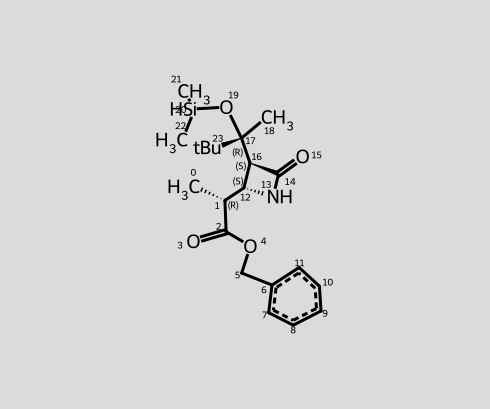 C[C@@H](C(=O)OCc1ccccc1)[C@H]1NC(=O)[C@@H]1[C@@](C)(O[SiH](C)C)C(C)(C)C